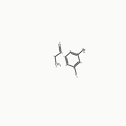 CCC=O.Fc1cccc(Br)c1